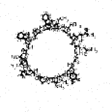 CCCC[C@H]1C(=O)N(C)[C@@H](CCCC)C(=O)N[C@@H](CCCNC(=N)N)C(=O)N[C@H](C(=O)NCC(N)=O)CSCC(=O)N[C@@H](Cc2ccc(F)c(F)c2)C(=O)N(C)[C@@H](C)C(=O)N[C@@H](CC(N)=O)C(=O)N2CCC[C@H]2C(=O)N[C@@H](Cc2ncc[nH]2)C(=O)N[C@@H](CC(C)C)C(=O)N2C[C@H](O)CC2C(=O)N[C@@H](Cc2c[nH]c3ccccc23)C(=O)N[C@@H](CO)C(=O)N[C@@H](Cc2c[nH]c3ccccc23)C(=O)N1C